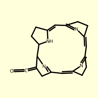 O=C=C1CC2=NC1C1CCC(=CC3=NC(=CC4=NC(=C2)CC4)CC3)N1